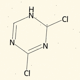 Cl[C]1N=C(Cl)N=CN1